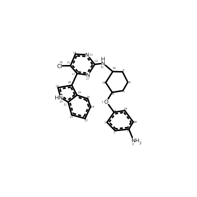 Nc1ccc(OC2CCCC(Nc3ncc(Cl)c(-c4c[nH]c5ccccc45)n3)C2)cc1